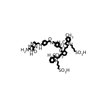 Cc1ccc2c(c1)C(C)(C)C(CCC1=C(OCc3ccc(CNC(=O)c4ccc(NCc5cnc6nc(N)[nH]c(=O)c6n5)cc4)cc3)/C(=C/C=C3/N(CCCCS(=O)(=O)O)c4ccccc4C3(C)C)CCC1)=[N+]2CCCCS(=O)(=O)O